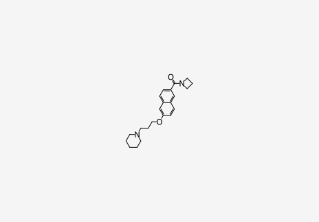 O=C(c1ccc2cc(OCCCN3CCCCC3)ccc2c1)N1CCC1